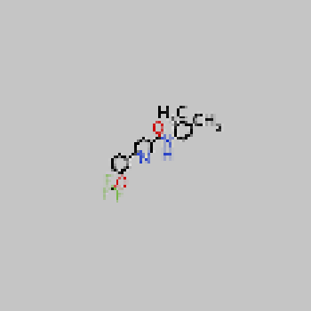 Cc1ccc(NC(=O)c2ccc(-c3cccc(OC(F)(F)F)c3)nc2)cc1C